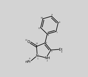 CCCn1[nH]c(CC)c(-c2ccccc2)c1=O